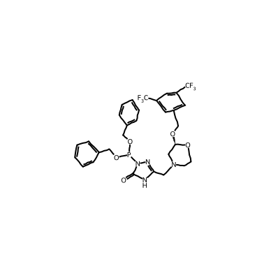 O=c1[nH]c(CN2CCO[C@H](OCc3cc(C(F)(F)F)cc(C(F)(F)F)c3)C2)nn1P(OCc1ccccc1)OCc1ccccc1